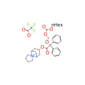 CCCCCCOC(=O)OCOC(C(=O)OC1CC2CCC(C1)[N+]21CCCC1)(c1ccccc1)c1ccccc1.O=C([O-])C(F)(F)F